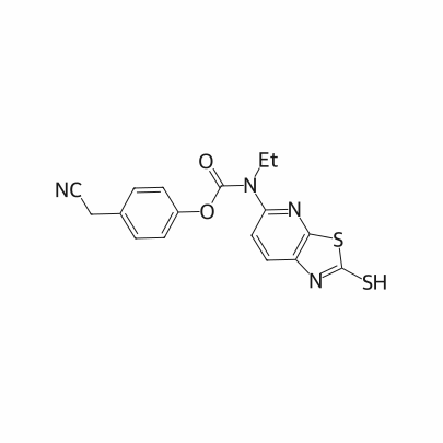 CCN(C(=O)Oc1ccc(CC#N)cc1)c1ccc2nc(S)sc2n1